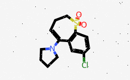 O=S1(=O)CCC=C(N2CCCC2)c2cc(Cl)ccc21